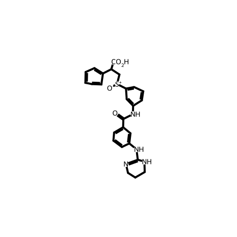 O=C(Nc1cccc([S+]([O-])CC(C(=O)O)c2ccccc2)c1)c1cccc(NC2=NCCCN2)c1